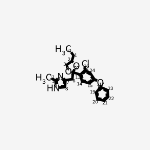 CCC1COC(Cc2c[nH]c(C)n2)(c2ccc(Oc3ccccc3)cc2Cl)O1